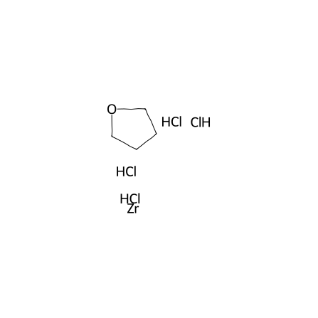 C1CCOC1.Cl.Cl.Cl.Cl.[Zr]